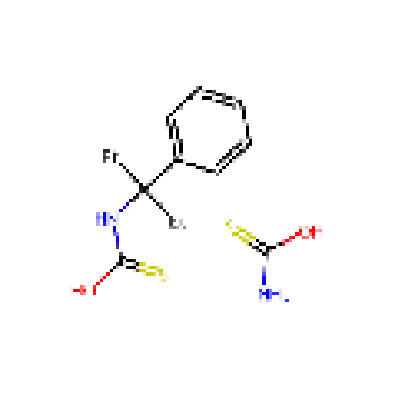 CCC(CC)(NC(O)=S)c1ccccc1.NC(O)=S